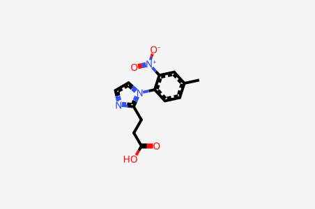 Cc1ccc(-n2ccnc2CCC(=O)O)c([N+](=O)[O-])c1